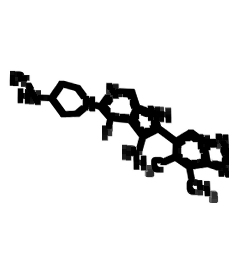 Cc1c(-c2[nH]c3cnc(N4CCC(NC(C)C)CC4)c(F)c3c2C(C)C)cn2ncnc2c1C